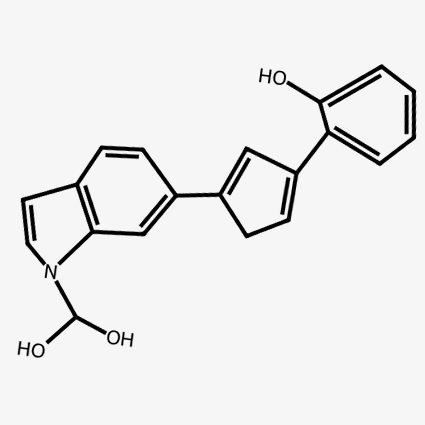 Oc1ccccc1C1=CCC(c2ccc3ccn(C(O)O)c3c2)=C1